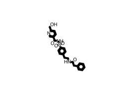 O=C(Cc1ccccc1)NCCc1ccc(S(=O)(=O)NC(=O)c2ccc(CO)nc2)cc1